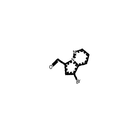 O=Cc1cc(Br)c2cccnn12